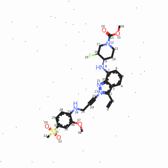 C=Cc1c2cccc(N[C@@H]3CCN(C(=O)OC)C[C@@H]3F)c2nn1C#CCNc1ccc(S(C)(=O)=O)cc1OC